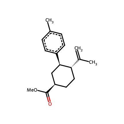 C=C(C)[C@@H]1CC[C@@H](C(=O)OC)C[C@H]1c1ccc(C)cc1